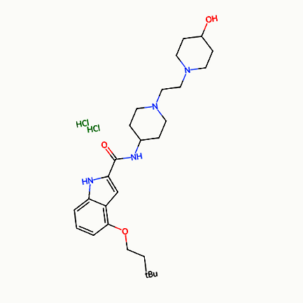 CC(C)(C)CCOc1cccc2[nH]c(C(=O)NC3CCN(CCN4CCC(O)CC4)CC3)cc12.Cl.Cl